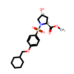 COC(=O)[C@@H]1C[C@@H](O)CN1S(=O)(=O)c1ccc(OCC2CCCCC2)cc1